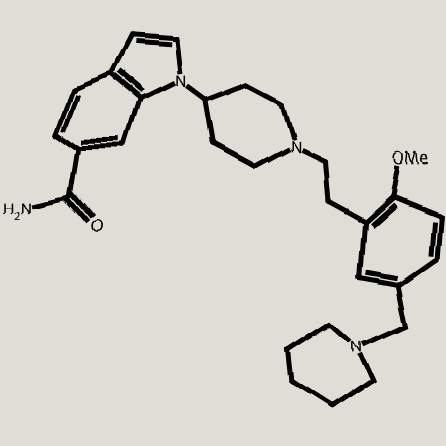 COc1ccc(CN2CCCCC2)cc1CCN1CCC(n2ccc3ccc(C(N)=O)cc32)CC1